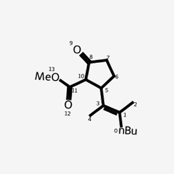 CCCCC(C)=C(C)C1CCC(=O)C1C(=O)OC